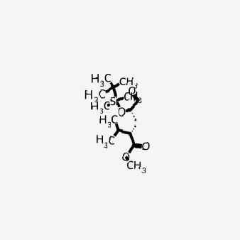 COC(=O)[C@@H](C[C@@H](C=O)O[Si](C)(C)C(C)(C)C)C(C)C